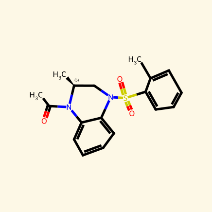 CC(=O)N1c2ccccc2N(S(=O)(=O)c2ccccc2C)C[C@@H]1C